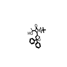 C[C@H](O)[C@H]1C(=O)N([Si](C)(C)C(C)(C)C)[C@H]1[C@H]1COC(c2ccccc2)(c2ccccc2)C1